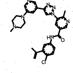 C=C(C)c1cc(NC(=O)c2cnc(C)c(-n3cc(-c4cncc(N5CCN(C)CC5)c4)nn3)c2)ccc1Cl